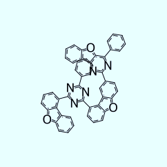 c1ccc(-c2nc(-c3cccc4oc5ccccc5c34)nc(-c3cccc4oc5ccc(-c6nc(-c7ccccc7)c7oc8ccccc8c7n6)cc5c34)n2)cc1